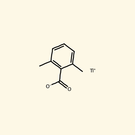 Cc1cccc(C)c1C(=O)[O-].[Tl+]